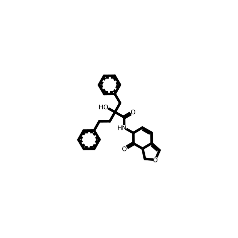 O=C1C(NC(=O)C(O)(CCc2ccccc2)Cc2ccccc2)C=CC2=COCC12